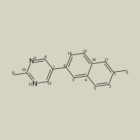 Cc1ccc2cc(-c3cnc(C)nc3)ccc2c1